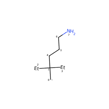 [CH2]C(CC)(CC)CCCN